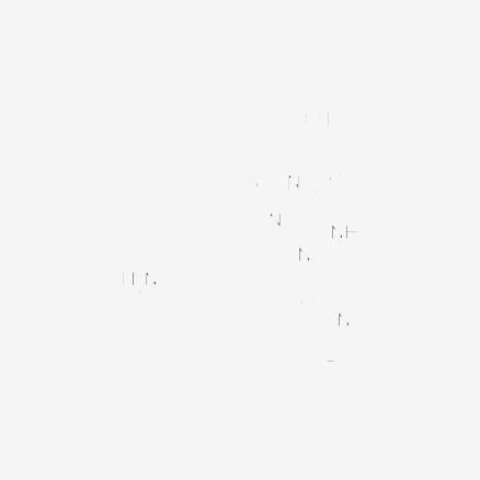 CCCn1c(=O)c2[nH]c(Cc3nc(F)co3)nc2n(CCc2ccc(N)cc2)c1=O